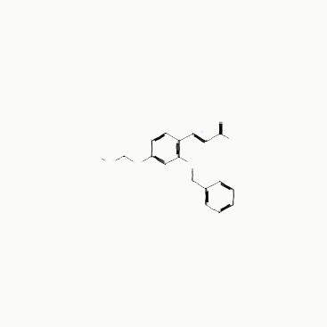 COCOc1ccc(/C=C/C(=O)O)c(OCc2ccccc2)c1